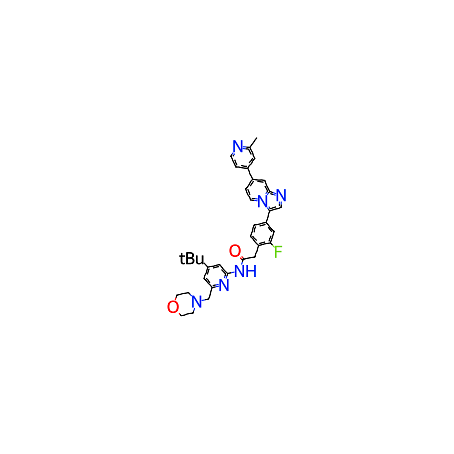 Cc1cc(-c2ccn3c(-c4ccc(CC(=O)Nc5cc(C(C)(C)C)cc(CN6CCOCC6)n5)c(F)c4)cnc3c2)ccn1